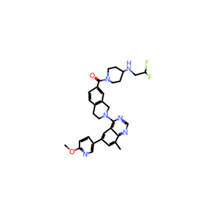 COc1ccc(-c2cc(C)c3ncnc(N4CCc5ccc(C(=O)N6CCC(NCC(F)F)CC6)cc5C4)c3c2)cn1